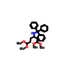 CC(C)(C)OC(CCC(CC(OC(C)(C)C)OC(C)(C)C)NC(c1ccccc1)(c1ccccc1)c1ccccc1)OC(C)(C)C